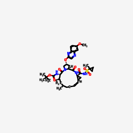 COc1ccc2nc(O[C@@H]3C[C@H]4C(=O)N[C@]5(C(=O)NS(=O)(=O)C6(C)CC6)C[C@H]5/C=C\CC[C@@H](C)C[C@@H](C)[C@H](NC(=O)OC(C)(C)C)C(=O)N4C3)cnc2c1